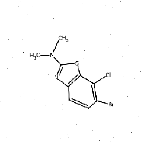 CN(C)c1nc2ccc(Br)c(Cl)c2s1